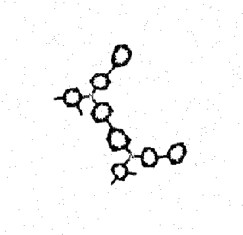 Cc1ccc(N(c2ccc(-c3ccccc3)cc2)c2ccc(-c3ccc(N(c4ccc(-c5ccccc5)cc4)c4ccc(C)cc4C)cc3)cc2)c(C)c1